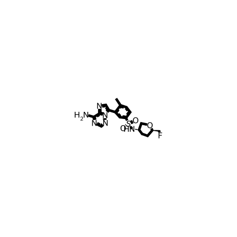 Cc1ccc(S(=O)(=O)N[C@H]2CC[C@H](CF)OC2)cc1-c1cnc2c(N)ncnn12